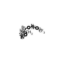 Cc1ccc(C(C)C)c(N2C(=O)CS/C2=N/C(=O)NCC(Br)c2ccc(-c3ncn(-c4ccc(OC(F)(F)F)cc4)n3)cc2)c1